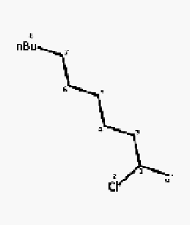 [CH2]C(Cl)CCCCCCCCC